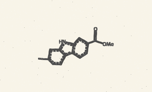 COC(=O)c1ccc2c(c1)[nH]c1cc(C)ccc12